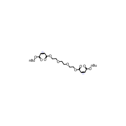 CCCCOC(=O)/C=C\C(=O)OCCOCCOCCOC(=O)/C=C\C(=O)OCCCC